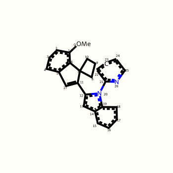 COc1cccc2c1C1(CCC1)C(c1cc3ccccc3n1-c1ccccn1)=C2